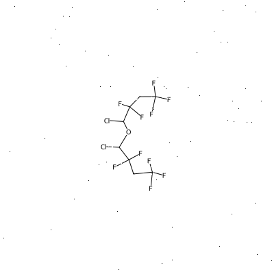 FC(F)(F)CC(F)(F)C(Cl)OC(Cl)C(F)(F)CC(F)(F)F